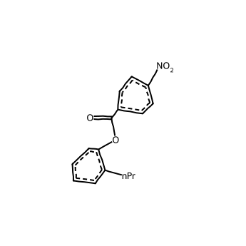 CCCc1ccccc1OC(=O)c1ccc([N+](=O)[O-])cc1